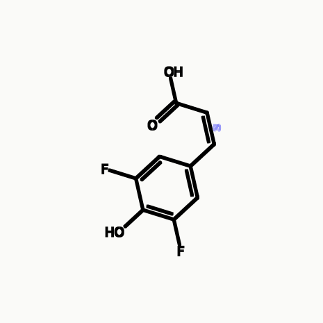 O=C(O)/C=C\c1cc(F)c(O)c(F)c1